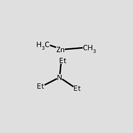 CCN(CC)CC.[CH3][Zn][CH3]